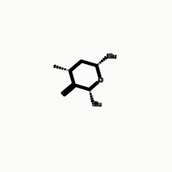 C=C1[C@H](C)C[C@H](C(C)(C)C)O[C@@H]1C(C)(C)C